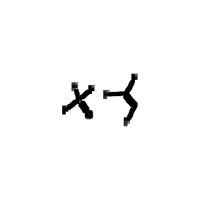 FC=C(F)F.O=P(F)(F)F